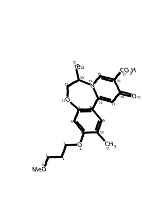 COCCCOc1cc2c(cc1C)-c1cc(=O)c(C(=O)O)cn1C(C(C)(C)C)CO2